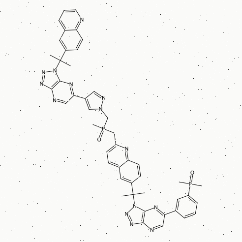 CC(C)(c1ccc2ncccc2c1)n1nnc2ncc(-c3cnn(CP(C)(=O)Cc4ccc5cc(C(C)(C)n6nnc7ncc(-c8cccc(P(C)(C)=O)c8)nc76)ccc5n4)c3)nc21